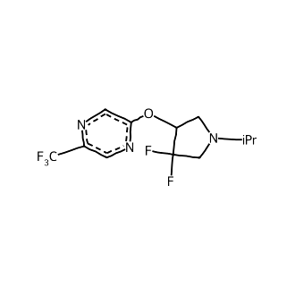 CC(C)N1CC(Oc2cnc(C(F)(F)F)cn2)C(F)(F)C1